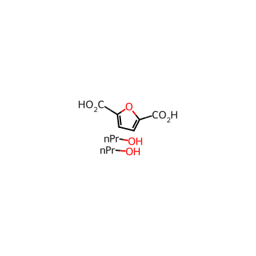 CCCO.CCCO.O=C(O)c1ccc(C(=O)O)o1